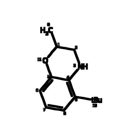 CC1CNc2c(cccc2C(C)(C)C)O1